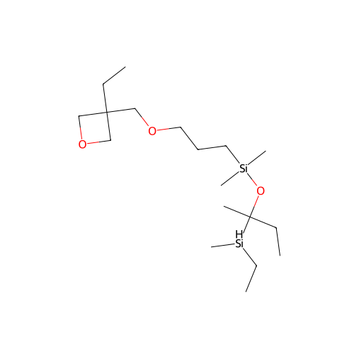 CC[SiH](C)C(C)(CC)O[Si](C)(C)CCCOCC1(CC)COC1